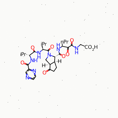 CCCC(NC(=O)[C@@H]1[C@H]2CCC(=O)[C@H]2CN1C(=O)[C@@H](NC(=O)[C@H](NC(=O)c1cnccn1)C(C)C)C(C)C)C(=O)C(=O)NCC(=O)O